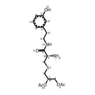 CC(=O)OC[C@H](CSC[C@H](N)C(=O)NCCc1cccc(O)c1)OC(C)=O